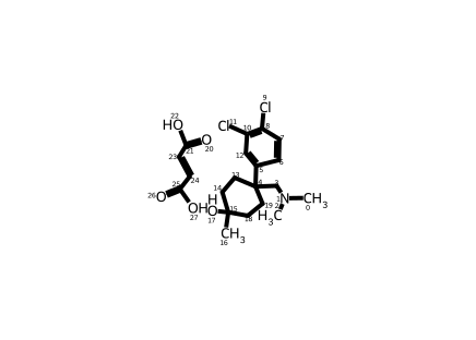 CN(C)CC1(c2ccc(Cl)c(Cl)c2)CCC(C)(O)CC1.O=C(O)C=CC(=O)O